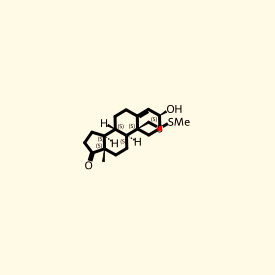 CSSC[C@]12CC[C@H](O)C=C1CC[C@@H]1[C@@H]2CC[C@]2(C)C(=O)CC[C@@H]12